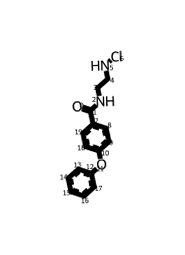 O=C(NCCNCl)c1ccc(Oc2ccccc2)cc1